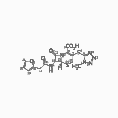 Cn1nnnc1SC1=C(C(=O)O)N2C(=O)C(NC(=O)Cc3ccco3)[C@H]2SC1